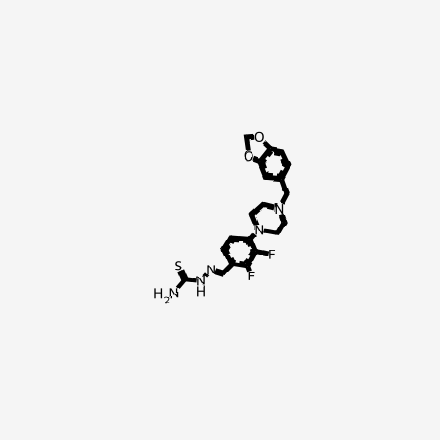 NC(=S)NN=Cc1ccc(N2CCN(Cc3ccc4c(c3)OCO4)CC2)c(F)c1F